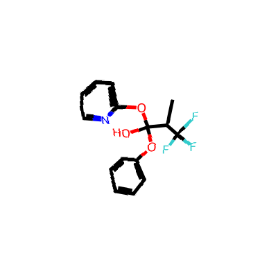 CC(C(F)(F)F)C(O)(Oc1ccccc1)Oc1ccccn1